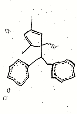 CC1=C[C]([Ti+3])(C(c2ccccc2)c2ccccc2)C(C)=C1.[Cl-].[Cl-].[Cl-]